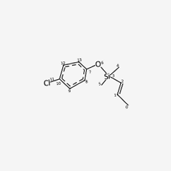 CC=C[Si](C)(C)Oc1ccc(Cl)cc1